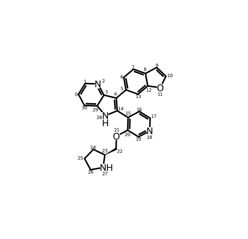 c1cnc2c(-c3ccc4ccoc4c3)c(-c3ccncc3OC[C@@H]3CCCN3)[nH]c2c1